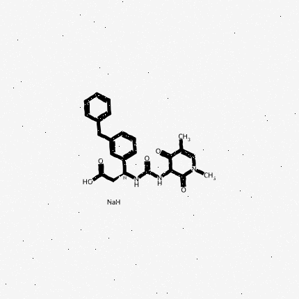 CC1=CN(C)C(=O)C(NC(=O)N[C@@H](CC(=O)O)c2cccc(Cc3ccccc3)c2)C1=O.[NaH]